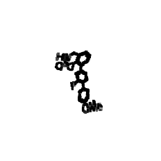 COc1ccc(-c2ccc(-c3cccc4c3OS(=O)NC4)cc2F)cc1